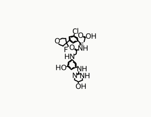 O=C(O)C[C@H](NC(=O)CNc1cc(O)cc(NC2=NCC(O)CN2)c1)c1cc(Cl)cc(C2(CF)CCOCC2)c1